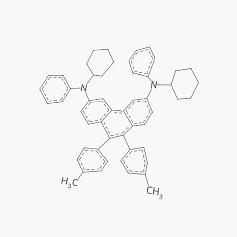 Cc1ccc(-c2c(-c3ccc(C)cc3)c3ccc(N(c4ccccc4)C4CCCCC4)cc3c3cc(N(c4ccccc4)C4CCCCC4)ccc23)cc1